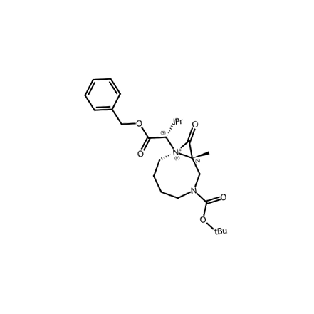 CC(C)[C@@H](C(=O)OCc1ccccc1)[N@+]12CCCCN(C(=O)OC(C)(C)C)C[C@@]1(C)C2=O